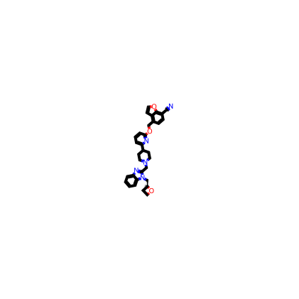 N#Cc1ccc(COc2cccc(C3CCN(Cc4nc5ccccc5n4C[C@@H]4CCO4)CC3)n2)c2ccoc12